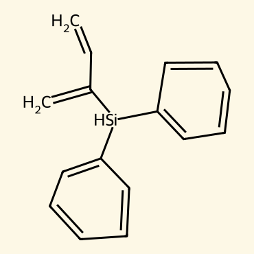 C=CC(=C)[SiH](c1ccccc1)c1ccccc1